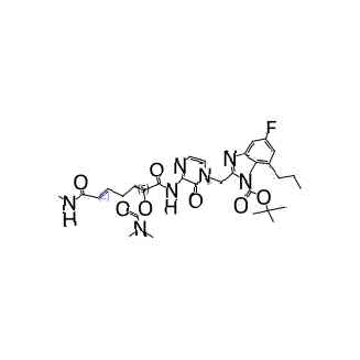 CCCc1cc(F)cc2nc(Cn3ccnc(NC(=O)[C@H](CC/C=C/C(=O)NC)OC(=O)N(C)C)c3=O)n(C(=O)OC(C)(C)C)c12